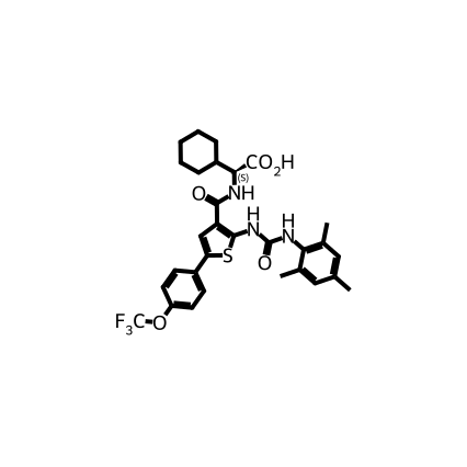 Cc1cc(C)c(NC(=O)Nc2sc(-c3ccc(OC(F)(F)F)cc3)cc2C(=O)N[C@H](C(=O)O)C2CCCCC2)c(C)c1